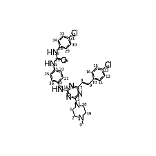 CN1CCN(c2nc(C=Cc3ccc(Cl)cc3)nc(Nc3ccc(NC(=O)Nc4ccc(Cl)cc4)cc3)n2)CC1